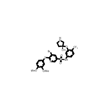 COc1ccc(Sc2ncc(S(=O)(=O)Nc3ccc(C(F)(F)F)c(O[C@]4(C)CCNC4)c3)cc2Br)cc1OC